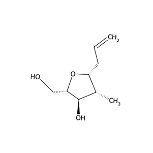 C=CC[C@H]1O[C@@H](CO)[C@H](O)[C@H]1C